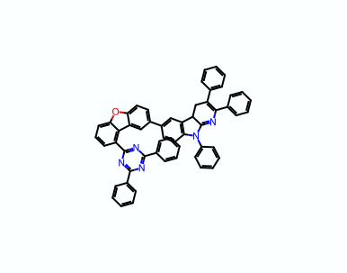 c1ccc(C2=C(c3ccccc3)N=C3C(C2)c2cc(-c4ccc5oc6cccc(-c7nc(-c8ccccc8)nc(-c8ccccc8)n7)c6c5c4)ccc2N3c2ccccc2)cc1